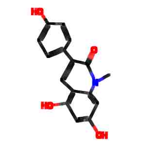 Cn1c(=O)c(-c2ccc(O)cc2)cc2c(O)cc(O)cc21